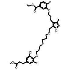 CCOC(=O)c1ccc(F)c(OCCCc2c(C)n[nH]c2COCCCOCCCOc2c(Cl)cc(CCC(=O)OC)cc2Cl)c1